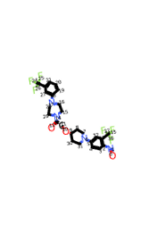 O=Nc1ccc(N2CCC(OCC(=O)N3CCN(c4cccc(C(F)(F)F)c4)CC3)CC2)cc1C(F)(F)F